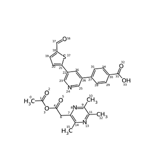 CC(=O)OC(=O)Cc1nc(C)c(C)nc1C.O=Cc1ccc(-c2cncc(-c3ccc(C(=O)O)cc3)c2)s1